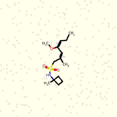 CC/C=C(\C=C(\C)CS(=O)(=O)NC1(C)CCC1)OC